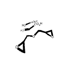 C(OCC1CO1)C1CO1.C=CC(=O)O.CCCCCCCCO